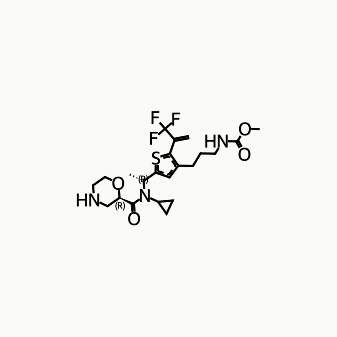 C=C(c1sc([C@@H](C)N(C(=O)[C@H]2CNCCO2)C2CC2)cc1CCCNC(=O)OC)C(F)(F)F